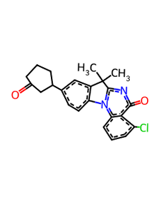 CC1(C)c2cc(C3CCCC(=O)C3)ccc2-n2c1nc(=O)c1c(Cl)cccc12